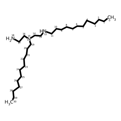 CCCCCCCCCCCCNCCN(CCN)CCCCCCCCCCCC